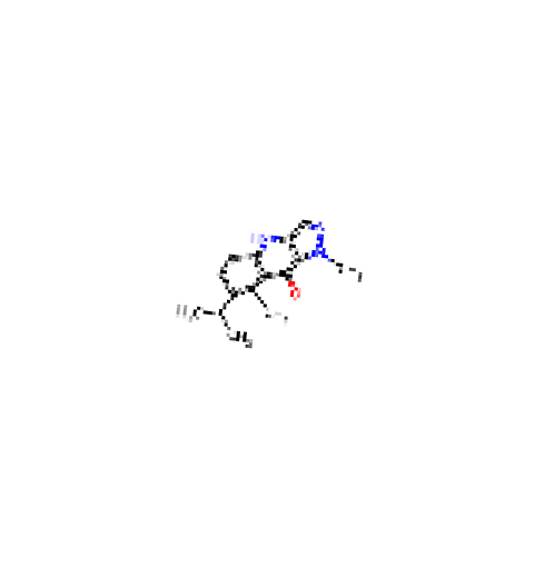 Cc1c(C(C)C)ccc2[nH]c3cnn(C)c3c(=O)c12